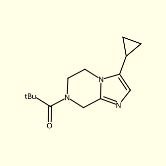 CC(C)(C)C(=O)N1CCn2c(C3CC3)cnc2C1